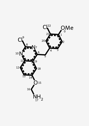 COc1ccc(Cc2nc(Cl)nc3ccc(OCN)cc23)cc1Cl